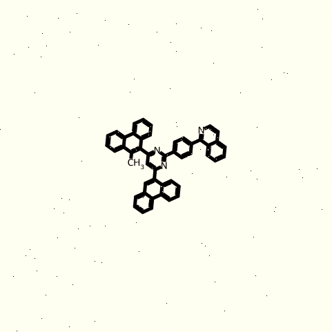 Cc1c(-c2cc(-c3cc4ccccc4c4ccccc34)nc(-c3ccc(-c4nccc5ccccc45)cc3)n2)c2ccccc2c2ccccc12